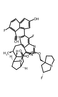 C#Cc1c(F)ccc2cc(O)cc(-c3nc4c5c(nc(OC[C@@]67CCCN6C[C@H](F)C7)nc5c3F)N3C[C@H]5CC[C@@H]([C@@H]3[C@@H](C)C4)N5C(=O)OC(C)(C)C)c12